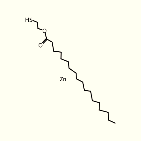 CCCCCCCCCCCCCCCCCC(=O)OCCS.[Zn]